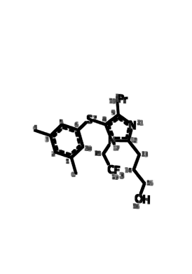 Cc1cc(C)cc(Sc2c(C(C)C)nc(CCCO)n2CC(F)(F)F)c1